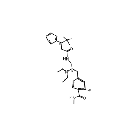 CCN(CC)[C@H](CNC(=O)C[C@@H](c1ccccc1)C(C)(C)C)Cc1ccc(C(=O)NC)c(F)c1